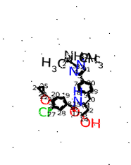 CC(=O)N[C@H](C)c1nc(-c2ccc(C[C@@H](CCO)NC(=O)c3ccc(OC4CC4)c(Cl)c3)cc2)cn1C